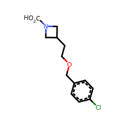 O=C(O)N1CC(CCOCc2ccc(Cl)cc2)C1